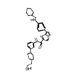 O=C(Nc1cccc(N2CCN(CCO)CC2)c1)c1ccn2ncc(-c3ccc(NCC4CCCCC4)cc3)c2n1